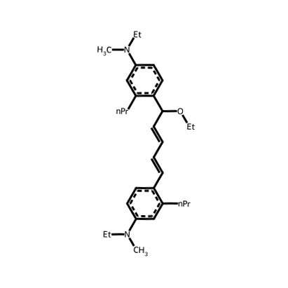 CCCc1cc(N(C)CC)ccc1C=CC=CC(OCC)c1ccc(N(C)CC)cc1CCC